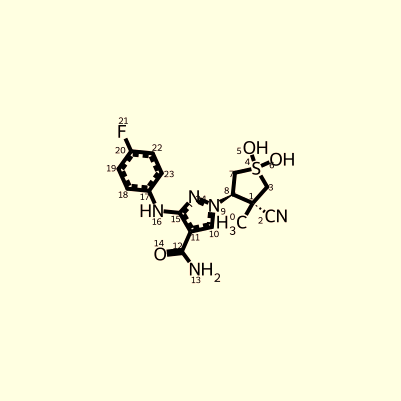 C[C@]1(C#N)CS(O)(O)C[C@@H]1n1cc(C(N)=O)c(Nc2ccc(F)cc2)n1